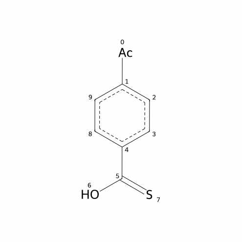 CC(=O)c1ccc(C(O)=S)cc1